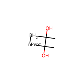 BCCCCC.CC(C)(O)C(C)(C)O